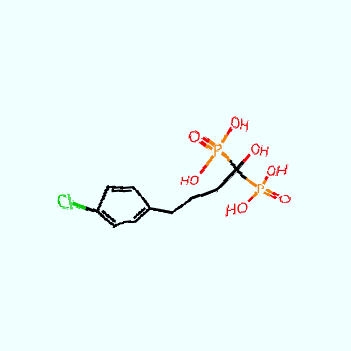 O=P(O)(O)C(O)(CCCc1ccc(Cl)cc1)P(=O)(O)O